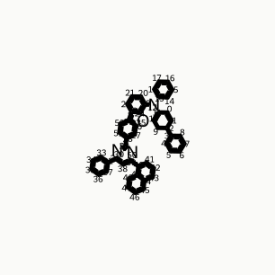 C1=CC(c2ccccc2)CC=C1N(c1ccccc1)c1cccc2c1oc1cc(-c3nc(-c4ccccc4)cc(-c4cccc5ccccc45)n3)ccc12